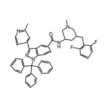 Cc1cc(-c2nn(C(c3ccccc3)(c3ccccc3)c3ccccc3)c3ccc(C(=O)NC4CC(Cc5c(F)cccc5F)CN(C)C4)cc23)ccn1